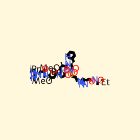 CCO/C(C)=N/OCc1cn(CCCS(=O)(=O)NC(=O)[C@H](Cc2ccccc2)NC(=O)[C@H](C)[C@@H](OC)[C@@H]2CCCN2C(=O)C[C@@H](OC)[C@H]([C@@H](C)CC)N(C)C(=O)[C@@H](N=C(N(C)C)N(C)C)C(C)C)nn1